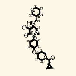 O=C(C1CC1)N1CCC(Oc2ccc(-n3ncc(NC[C@@H]4CCCOC4)c(Cl)c3=O)cc2)CC1